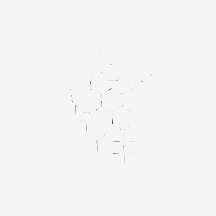 C=C[C@@H](CO[Si](C)(C)C(C)(C)C)[C@@H](O)[C@H](CC[Si](C)(C)C(C)(C)C)[C@H](O[Si](CC)(CC)CC)[C@H]1O[C@@H]1[C@@H](C)COC(C)=O